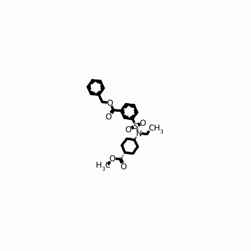 CCN([C@H]1CC[C@@H](C(=O)OC)CC1)S(=O)(=O)c1cccc(C(=O)OCc2ccccc2)c1